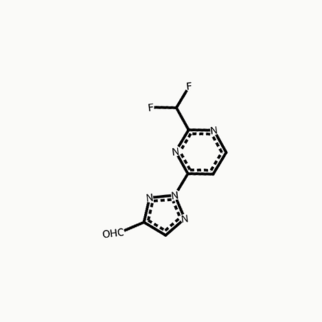 O=Cc1cnn(-c2ccnc(C(F)F)n2)n1